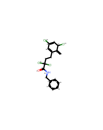 C=C1C(CCC(Cl)(Cl)C(=O)NCc2ccccc2)=CC(Cl)=CC1Cl